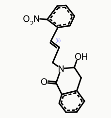 O=C1c2ccccc2CC(O)N1C/C=C/c1ccccc1[N+](=O)[O-]